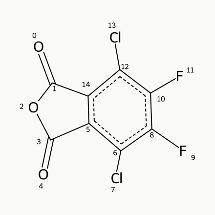 O=C1OC(=O)c2c(Cl)c(F)c(F)c(Cl)c21